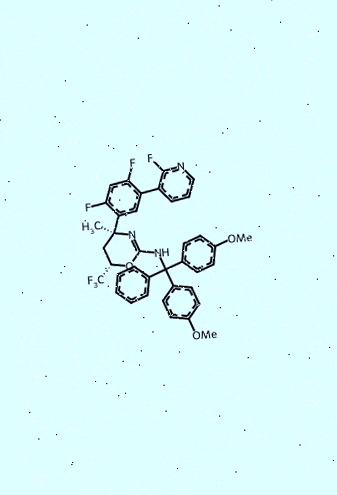 COc1ccc(C(NC2=N[C@](C)(c3cc(-c4cccnc4F)c(F)cc3F)C[C@@H](C(F)(F)F)O2)(c2ccccc2)c2ccc(OC)cc2)cc1